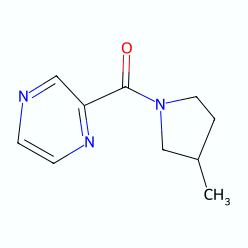 CC1CCN(C(=O)c2cnccn2)C1